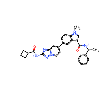 CC(NC(=O)c1cn(C)c2ccc(-c3ccn4nc(NC(=O)C5CCC5)nc4c3)cc12)c1ccccc1